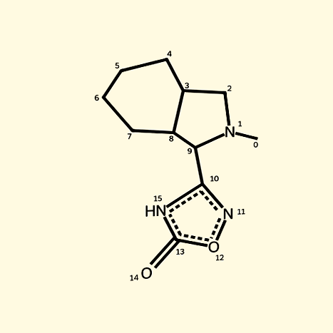 CN1CC2CCCCC2C1c1noc(=O)[nH]1